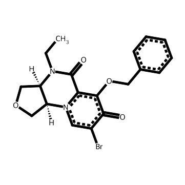 CCN1C(=O)c2c(OCc3ccccc3)c(=O)c(Br)cn2[C@H]2COC[C@H]21